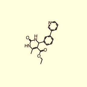 CCOC(=O)C1=C(C)NC(=O)NC1c1cccc(-c2cccnc2)c1